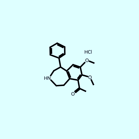 COc1cc2c(c(C(C)=O)c1OC)CCNCC2c1ccccc1.Cl